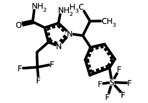 CC(C)C(c1ccc(S(F)(F)(F)(F)F)cc1)n1nc(CC(F)(F)F)c(C(N)=O)c1N